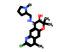 CCN1CCCC1CN[C@H]1c2cc3nc(Cl)cc(C)c3cc2OC(C)(C)[C@@H]1O